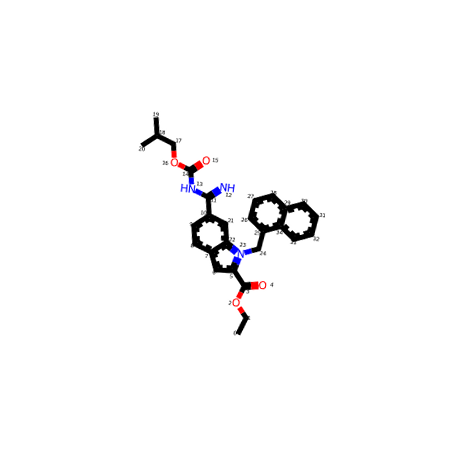 CCOC(=O)c1cc2ccc(C(=N)NC(=O)OCC(C)C)cc2n1Cc1cccc2ccccc12